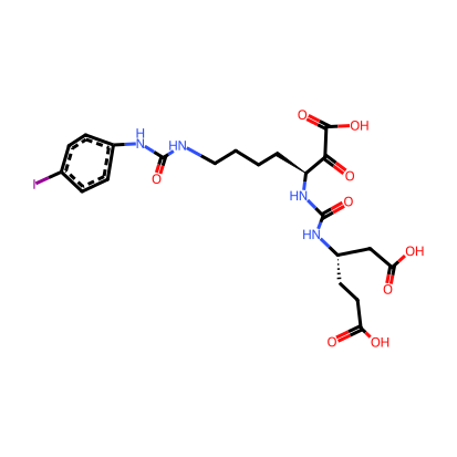 O=C(O)CC[C@@H](CC(=O)O)NC(=O)N[C@@H](CCCCNC(=O)Nc1ccc(I)cc1)C(=O)C(=O)O